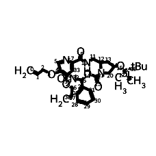 C=CCOc1cnc(C(=O)NCC2CC(O[Si](C)(C)C(C)(C)C)CN2C(=O)OC(c2ccccc2)[N+](=O)[O-])cc1OCC=C